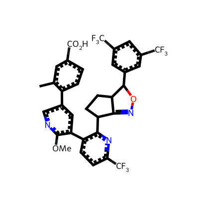 COc1ncc(-c2ccc(C(=O)O)cc2C)cc1-c1ccc(C(F)(F)F)nc1C1CCC2C1=NOC2c1cc(C(F)(F)F)cc(C(F)(F)F)c1